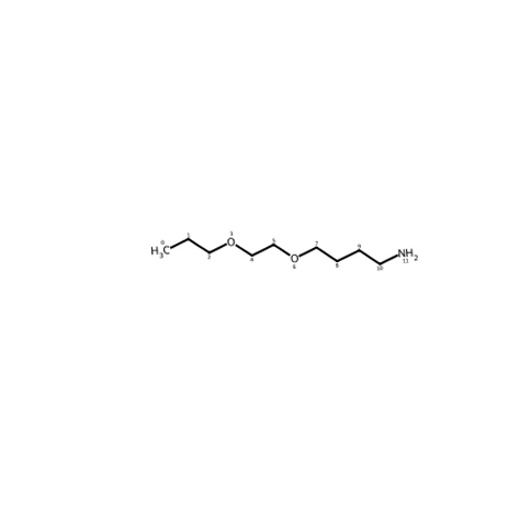 CCCOCCOCCCCN